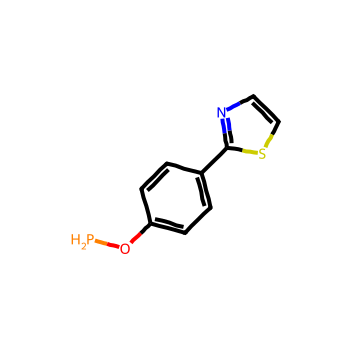 POc1ccc(-c2nccs2)cc1